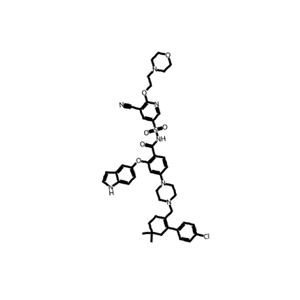 CC1(C)CCC(CN2CCN(c3ccc(C(=O)NS(=O)(=O)c4cnc(OCCN5CCOCC5)c(C#N)c4)c(Oc4ccc5[nH]ccc5c4)c3)CC2)=C(c2ccc(Cl)cc2)C1